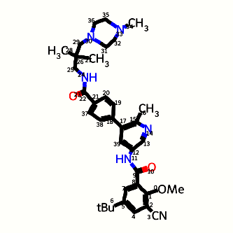 COc1c(C#N)cc(C(C)(C)C)cc1C(=O)Nc1cnc(C)c(-c2ccc(C(=O)NCC(C)(C)CN3CCN(C)CC3)cc2)c1